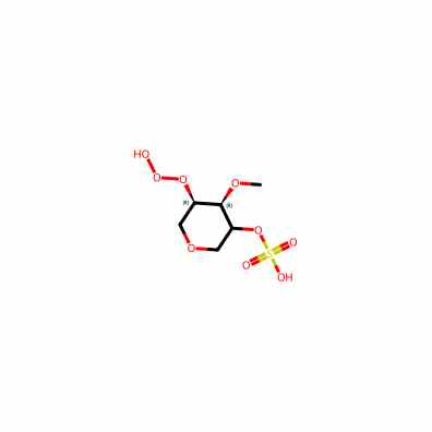 CO[C@H]1C(OS(=O)(=O)O)COC[C@H]1OOO